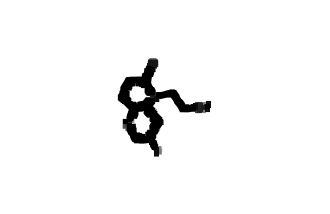 O=c1ccc2ncc(F)cc2n1CCO